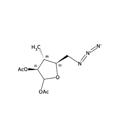 CC(=O)OC1O[C@H](CN=[N+]=[N-])[C@@H](C)[C@@H]1OC(C)=O